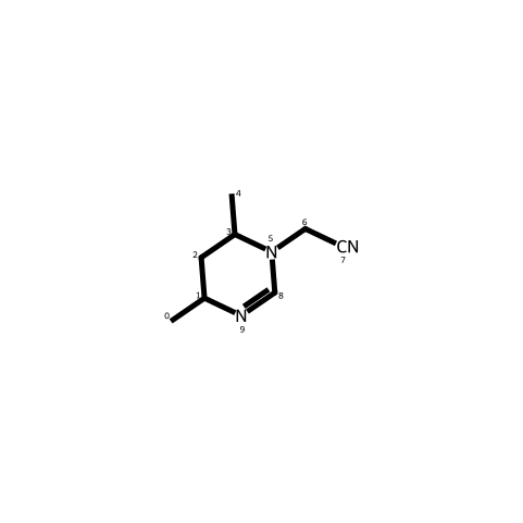 CC1CC(C)N(CC#N)C=N1